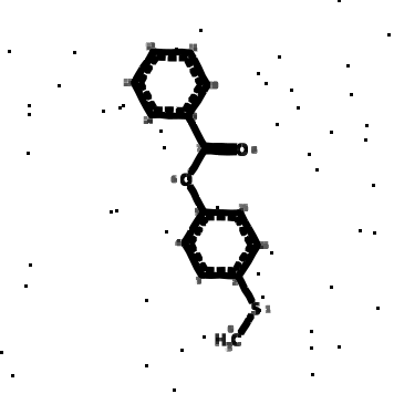 CSc1ccc(OC(=O)c2ccccc2)cc1